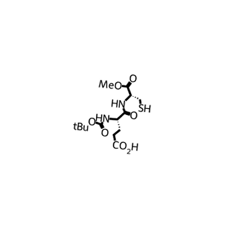 COC(=O)[C@H](CS)NC(=O)[C@H](CCC(=O)O)NC(=O)OC(C)(C)C